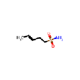 CC=CCCS(N)(=O)=O